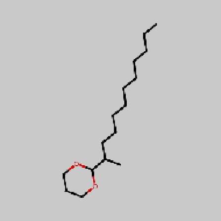 CCCCCCCCCCC(C)C1OC[CH]CO1